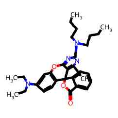 CCCCN(CCCC)c1nc(C)c2c(n1)Oc1cc(N(CC)CC)ccc1C21OC(=O)c2ccccc21